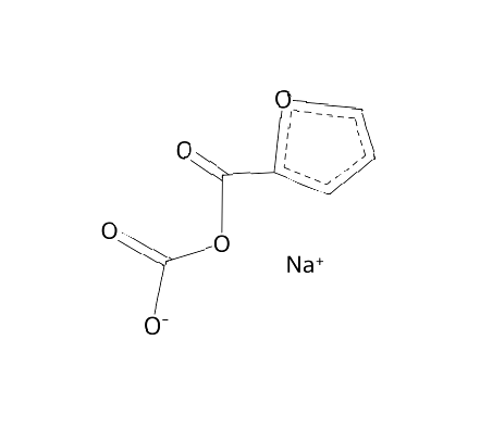 O=C([O-])OC(=O)c1ccco1.[Na+]